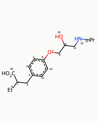 CCC(Cc1ccc(OCC(O)CNC(C)C)cc1)C(=O)O